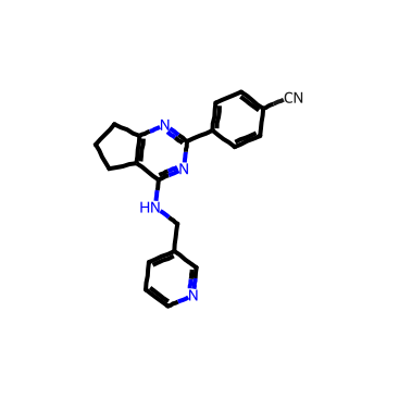 N#Cc1ccc(-c2nc3c(c(NCc4cccnc4)n2)CCC3)cc1